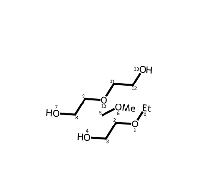 CCOCCO.COC.OCCOCCO